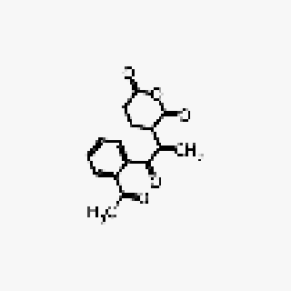 C=C(C(=O)c1ccccc1C(C)=O)C1CCC(=O)OC1=O